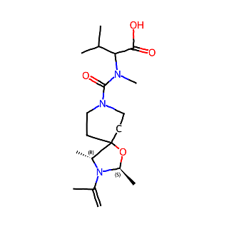 C=C(C)N1[C@H](C)OC2(CCN(C(=O)N(C)C(C(=O)O)C(C)C)CC2)[C@H]1C